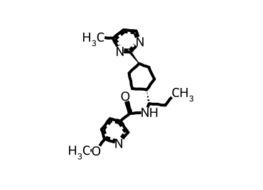 CCC(NC(=O)c1ccc(OC)nc1)[C@H]1CC[C@H](c2nccc(C)n2)CC1